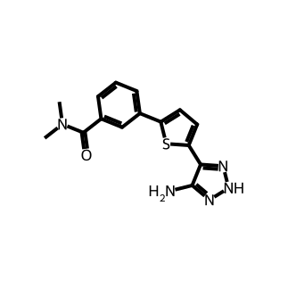 CN(C)C(=O)c1cccc(-c2ccc(-c3n[nH]nc3N)s2)c1